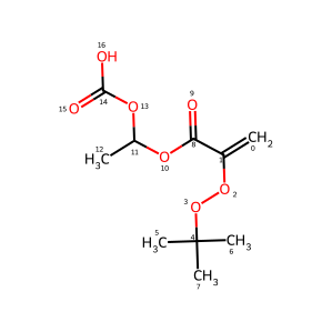 C=C(OOC(C)(C)C)C(=O)OC(C)OC(=O)O